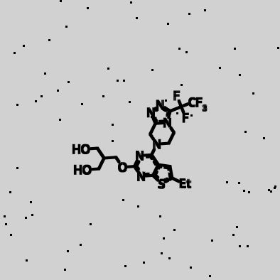 CCc1cc2c(N3CCn4c(nnc4C(F)(F)C(F)(F)F)C3)nc(OCC(CO)CO)nc2s1